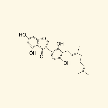 CC(C)=CCC/C(C)=C/Cc1c(O)ccc(-c2coc3cc(O)cc(O)c3c2=O)c1O